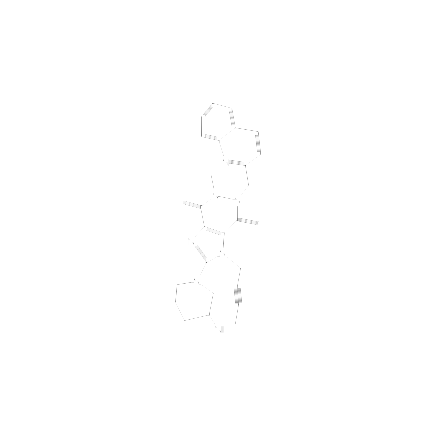 CC#CCn1c(N2CCCC(N)C2)nc2c(=O)n(C)n(Cc3ccc4ccccc4n3)c(=O)c21